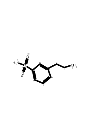 CCCc1cccc(S(N)(=O)=O)c1